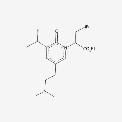 CCOC(=O)C(CC(C)C)n1cc(CCN(C)C)cc(C(F)F)c1=O